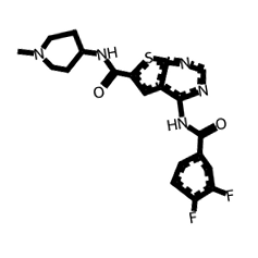 CN1CCC(NC(=O)c2cc3c(NC(=O)c4ccc(F)c(F)c4)ncnc3s2)CC1